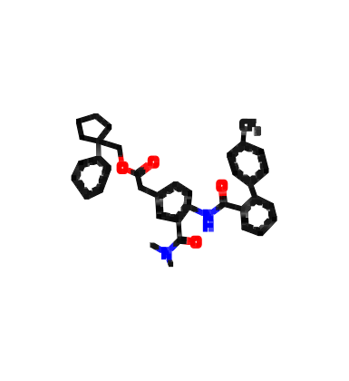 CN(C)C(=O)c1cc(CC(=O)OCC2(c3ccccc3)CCCC2)ccc1NC(=O)c1ccccc1-c1ccc(C(F)(F)F)cc1